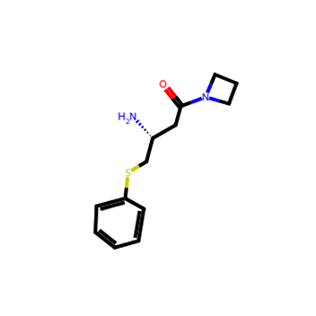 N[C@@H](CSc1ccccc1)CC(=O)N1CCC1